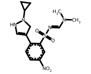 CN(C)C=NS(=O)(=O)c1cc([N+](=O)[O-])ccc1C1=CNN(C2CC2)C1